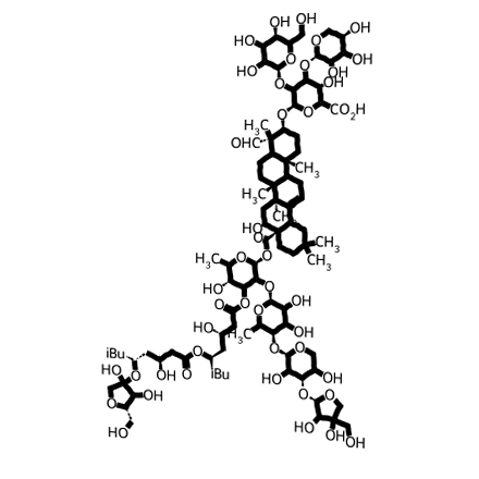 CC[C@H](C)[C@H](C[C@H](O)CC(=O)OC1C(O[C@@H]2OC(C)[C@H](O[C@H]3OCC(O)[C@H](O[C@@H]4OCC(O)(CO)C4O)C3O)C(O)C2O)[C@H](OC(=O)[C@]23CCC(C)(C)CC2C2=CCC4[C@@]5(C)CC[C@H](O[C@@H]6OC(C(=O)O)[C@H](O)C(O[C@@H]7OC[C@@H](O)C(O)C7O)C6O[C@@H]6OC(CO)[C@H](O)C(O)C6O)[C@@](C)(C=O)C5CC[C@@]4(C)[C@]2(C)C[C@H]3O)OC(C)[C@H]1O)OC(=O)C[C@@H](O)C[C@H](OC1(O)CO[C@@H](CO)C1O)[C@@H](C)CC